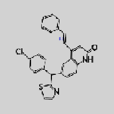 O=c1cc(/C=C/c2ccccc2)c2cc(C(c3ccc(Cl)cc3)c3nccs3)ccc2[nH]1